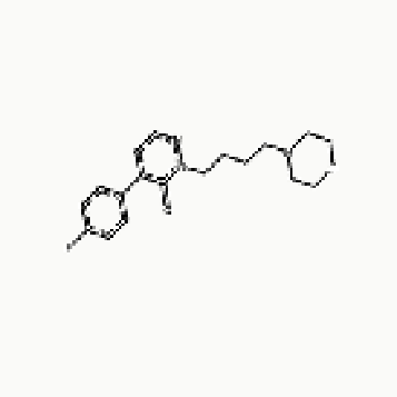 O=c1c(-c2ccc(F)cc2)ccnn1CCCCN1CCOCC1